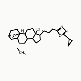 CC[C@H]1CC2C3CCC(CCCc4nnc(C5CC5)o4)C3(C)CC[C@@H]2C2(C)CCCCC12